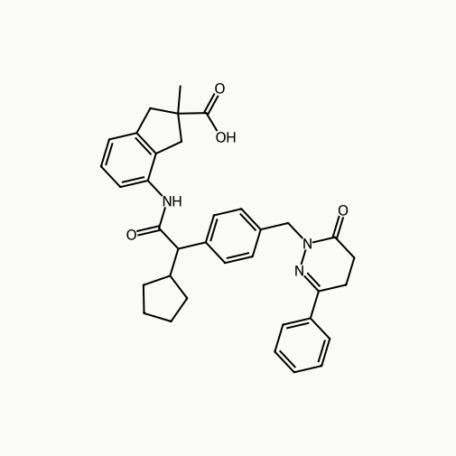 CC1(C(=O)O)Cc2cccc(NC(=O)C(c3ccc(CN4N=C(c5ccccc5)CCC4=O)cc3)C3CCCC3)c2C1